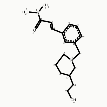 CN(C)C(=O)C=Cc1cccc(CN2CCCC(CCO)C2)c1